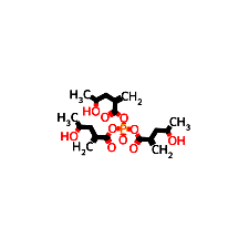 C=C(CC(C)O)C(=O)OP(=O)(OC(=O)C(=C)CC(C)O)OC(=O)C(=C)CC(C)O